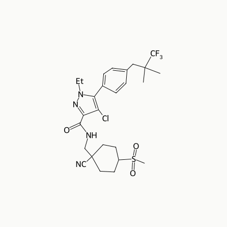 CCn1nc(C(=O)NCC2(C#N)CCC(S(C)(=O)=O)CC2)c(Cl)c1-c1ccc(CC(C)(C)C(F)(F)F)cc1